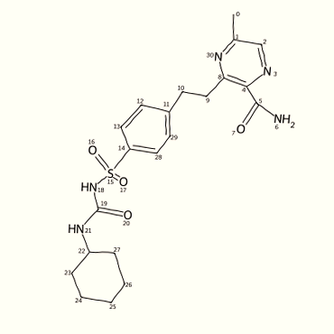 Cc1cnc(C(N)=O)c(CCc2ccc(S(=O)(=O)NC(=O)NC3CCCCC3)cc2)n1